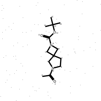 CC(=O)N1CCC2(C1)CN(C(=O)OC(C)(C)C)C2